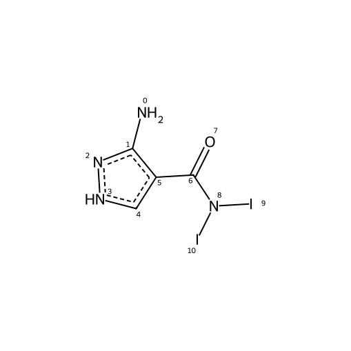 Nc1n[nH]cc1C(=O)N(I)I